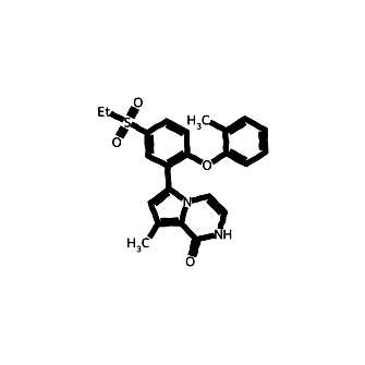 CCS(=O)(=O)c1ccc(Oc2ccccc2C)c(-c2cc(C)c3c(=O)[nH]ccn23)c1